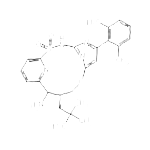 Cc1cccc(C)c1-c1cc2nc(n1)NS(=O)(=O)c1cccc(n1)C(N)[C@H](CC(C)(C)C)CO2